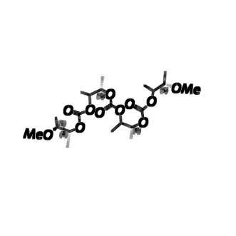 CO[C@@H](C)C(C)OC(=O)O[C@H](C)C(C)OC(=O)O[C@@H](C)C(C)OC(=O)O[C@H](C)[C@H](C)OC